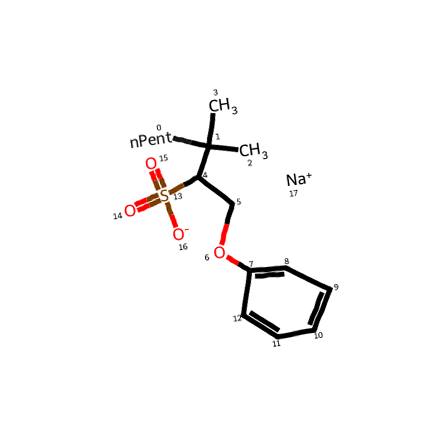 CCCCCC(C)(C)C(COc1ccccc1)S(=O)(=O)[O-].[Na+]